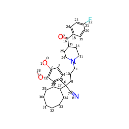 COc1ccc(C(C#N)(CCCN2CCC(C(=O)c3ccc(F)cc3)CC2)C2CCCCCCC2)cc1OC